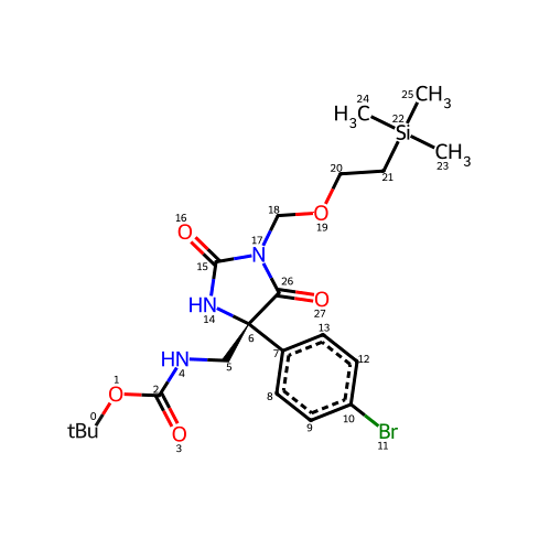 CC(C)(C)OC(=O)NC[C@@]1(c2ccc(Br)cc2)NC(=O)N(COCC[Si](C)(C)C)C1=O